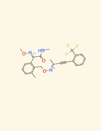 CNC(=O)/C(=N/OC)c1cccc(C)c1CO/N=C(\C)C#Cc1ccccc1C(F)(F)F